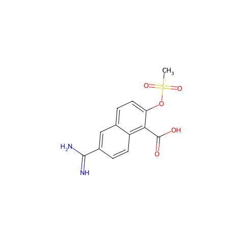 CS(=O)(=O)Oc1ccc2cc(C(=N)N)ccc2c1C(=O)O